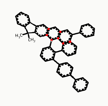 CC1(C)c2ccccc2-c2ccc(N(c3ccc(-c4ccccc4)cc3)c3cccc(-c4ccc(-c5ccccc5)cc4)c3-c3ccccc3-c3ccccc3)cc21